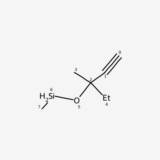 C#CC(C)(CC)O[SiH2]C